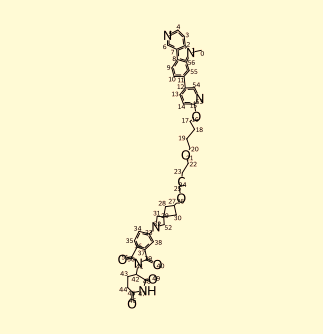 Cn1c2ccncc2c2ccc(-c3ccc(OCCCCOCCCCOC4CC5(C4)CN(c4ccc6c(c4)C(=O)N(C4CCC(=O)NC4=O)C6=O)C5)nc3)cc21